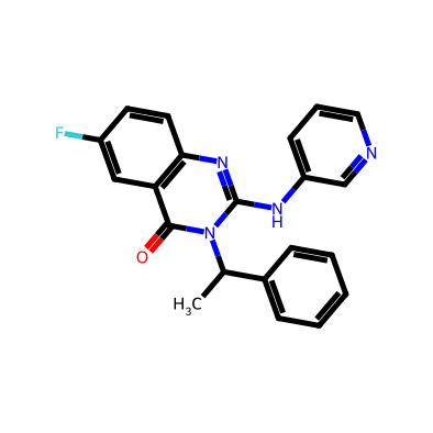 CC(c1ccccc1)n1c(Nc2cccnc2)nc2ccc(F)cc2c1=O